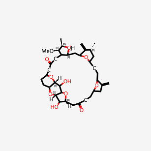 C=C1CC2CCC(=O)C[C@H]3OC4C(O)[C@H]5OC(CCC5O[C@H]4C3O)CC(=O)CC3[C@H](CC4OC(CCC1O2)C[C@@H](C)C4=C)O[C@H](C)[C@@H]3OC